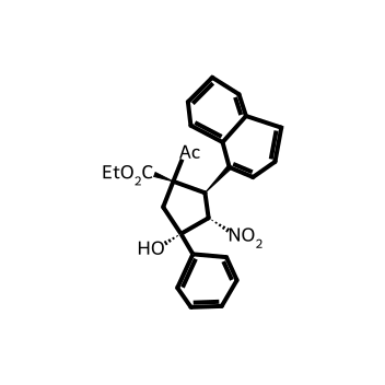 CCOC(=O)[C@]1(C(C)=O)C[C@](O)(c2ccccc2)[C@@H]([N+](=O)[O-])[C@@H]1c1cccc2ccccc12